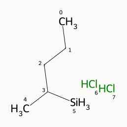 CCCC(C)[SiH3].Cl.Cl